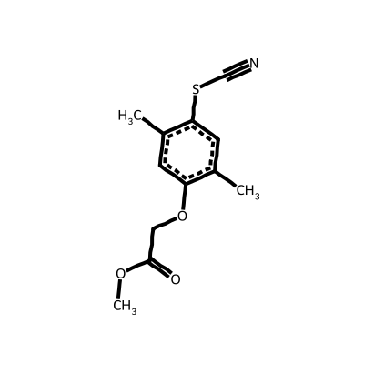 COC(=O)COc1cc(C)c(SC#N)cc1C